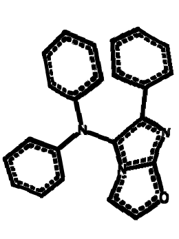 c1ccc(-c2nc3occn3c2N(c2ccccc2)c2ccccc2)cc1